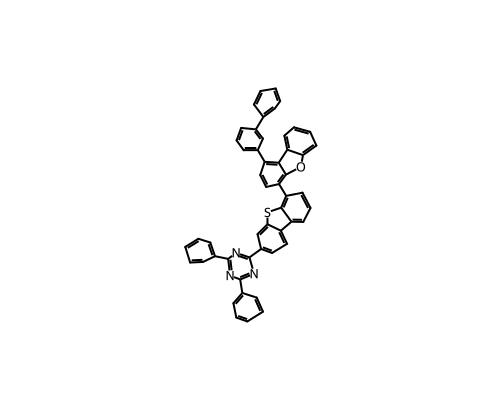 c1ccc(-c2cccc(-c3ccc(-c4cccc5c4sc4cc(-c6nc(-c7ccccc7)nc(-c7ccccc7)n6)ccc45)c4oc5ccccc5c34)c2)cc1